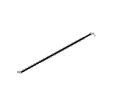 C=CCCCCCCCCCOCCOCCOCCOCCOCCOCCOCCOCCOCCOCCOCCOCCOCCOCCOCCOCCOCCOCCOCCOCCOCCOCCCOCCCOCCCOCCCOCCCOCCCOCCCO